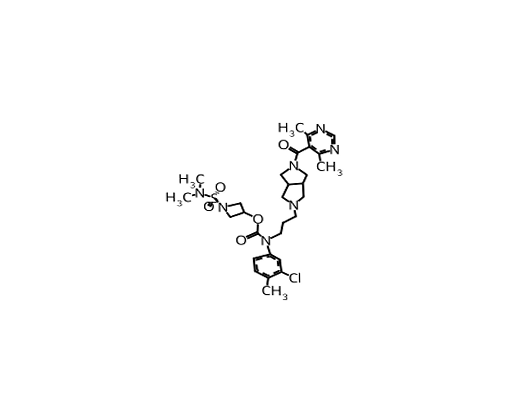 Cc1ccc(N(CCCN2CC3CN(C(=O)c4c(C)ncnc4C)CC3C2)C(=O)OC2CN(S(=O)(=O)N(C)C)C2)cc1Cl